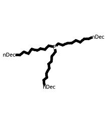 CCCCCCCCCCCCCCCCCCP(CCCCCCCCCCCCCCCCCC)CCCCCCCCCCCCCCCCCC